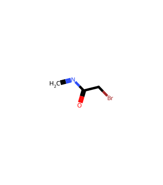 C=NC(=O)CBr